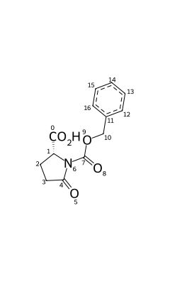 O=C(O)[C@H]1CCC(=O)N1C(=O)OCc1ccccc1